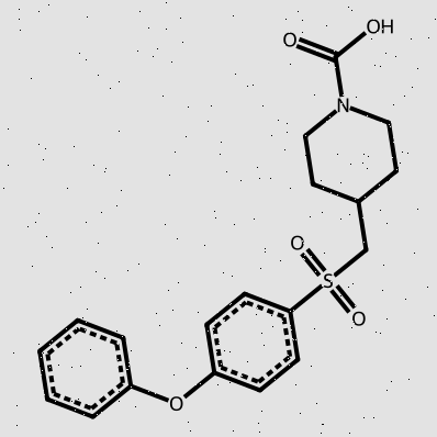 O=C(O)N1CCC(CS(=O)(=O)c2ccc(Oc3ccccc3)cc2)CC1